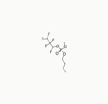 CCCCOP(=O)(OC)OC(F)C(F)(F)C(F)F